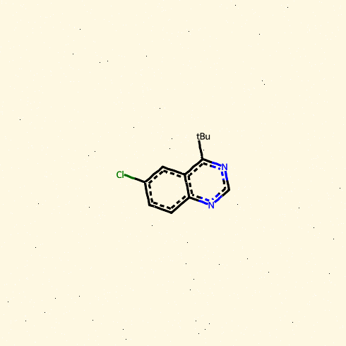 CC(C)(C)c1ncnc2ccc(Cl)cc12